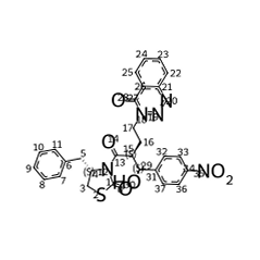 O=C1SC[C@H](Cc2ccccc2)N1C(=O)[C@@H](CCn1nnc2ccccc2c1=O)[C@H](O)c1ccc([N+](=O)[O-])cc1